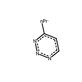 CC[CH]c1ccnnn1